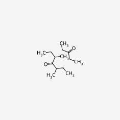 CCC(=O)CC.CCC(C)C(=O)C(C)CC